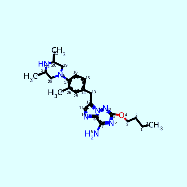 CCCCOc1nc(N)c2ncc(Cc3ccc(N4CC(C)NC(C)C4)c(C)c3)n2n1